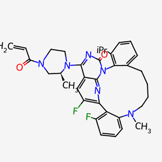 C=CC(=O)N1CCN(c2nc(=O)n3c4nc(c(F)cc24)-c2c(F)cccc2N(C)CCCCc2cccc(C(C)C)c2-3)[C@@H](C)C1